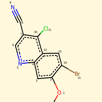 COc1cc2ncc(C#N)c(Cl)c2cc1Br